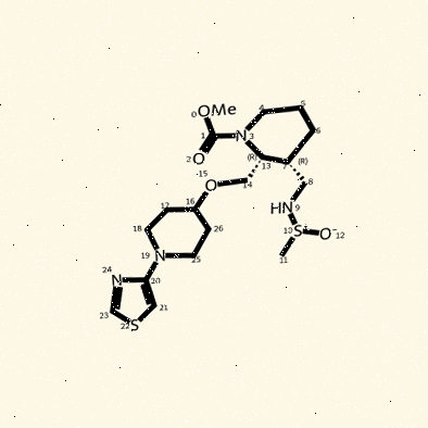 COC(=O)N1CCC[C@H](CN[S+](C)[O-])[C@@H]1COC1CCN(c2cscn2)CC1